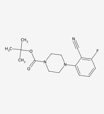 CC(C)(C)OC(=O)N1CCN(c2cccc(F)c2C#N)CC1